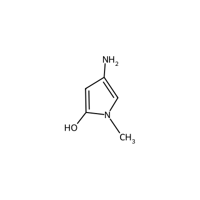 Cn1cc(N)cc1O